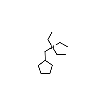 CC[N+](CC)(CC)CC1CCCC1